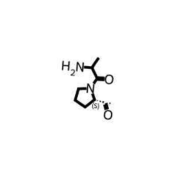 CC(N)C(=O)N1CCC[C@H]1[C]=O